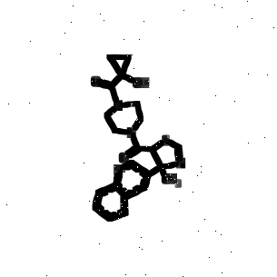 CC1(c2cnc3ccccc3c2)N=CSC1C(=O)N1CCN(C(=O)C2(O)CC2)CC1